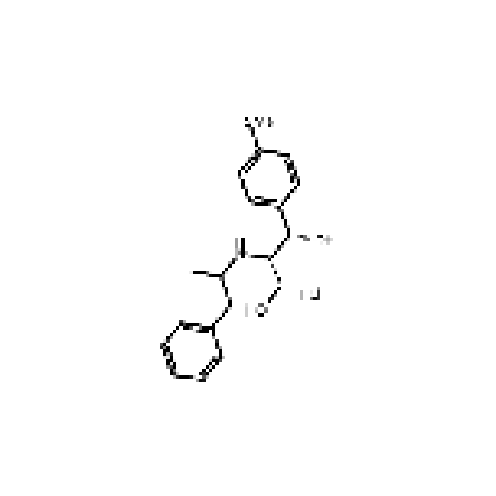 CSc1ccc([C@H](O)[C@H](CO)NC(C)Cc2ccccc2)cc1.Cl